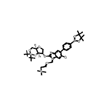 CC1(C)OB(c2ccc(-c3cc4nc(O[C@@H]5CO[C@@H]6CO[Si](C(C)(C)C)(C(C)(C)C)O[C@@H]65)n(COCC[Si](C)(C)C)c4cc3Cl)cc2)OC1(C)C